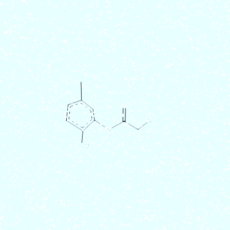 COc1ccc(C)cc1NC(=O)CNC(C)=O